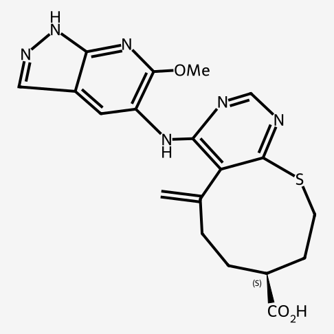 C=C1CC[C@H](C(=O)O)CCSc2ncnc(Nc3cc4cn[nH]c4nc3OC)c21